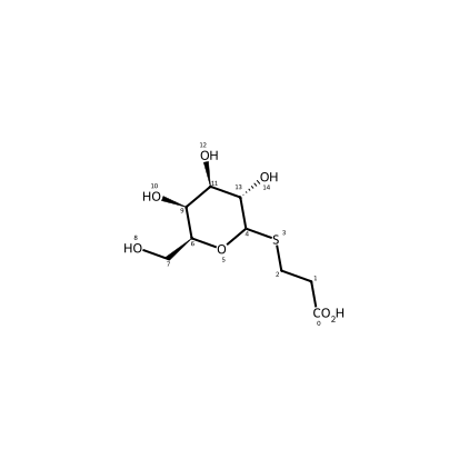 O=C(O)CCSC1O[C@@H](CO)[C@@H](O)[C@@H](O)[C@@H]1O